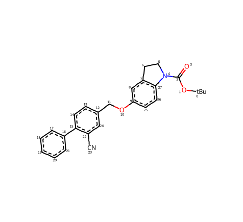 CC(C)(C)OC(=O)N1CCc2cc(OCc3ccc(-c4ccccc4)c(C#N)c3)ccc21